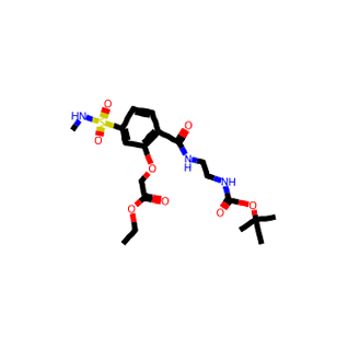 CCOC(=O)COc1cc(S(=O)(=O)NC)ccc1C(=O)NCCNC(=O)OC(C)(C)C